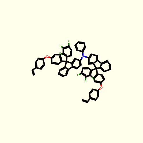 C=Cc1ccc(Oc2ccc(C3(c4ccc(F)c(F)c4F)c4ccccc4-c4ccc(N(c5ccccc5)c5ccc6c(c5)C(c5ccc(Oc7ccc(C=C)cc7)cc5)(c5ccc(F)c(F)c5F)c5ccccc5-6)cc43)cc2)cc1